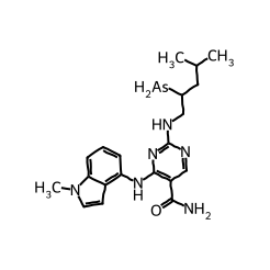 CC(C)CC([AsH2])CNc1ncc(C(N)=O)c(Nc2cccc3c2ccn3C)n1